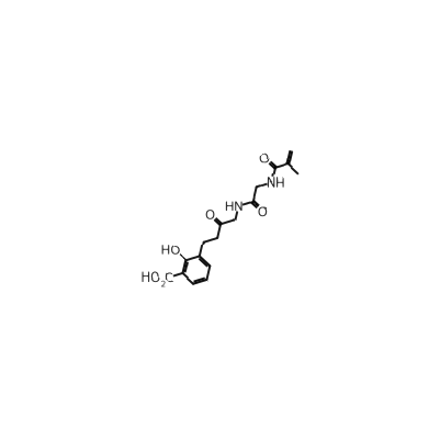 C=C(C)C(=O)NCC(=O)NCC(=O)CCc1cccc(C(=O)O)c1O